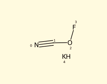 N#COF.[KH]